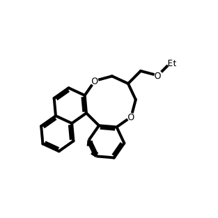 CCOCC1COc2ccc3ccccc3c2-c2c(ccc3ccccc23)OC1